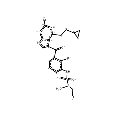 CCN(C)S(=O)(=O)Nc1cccc(C(=O)c2c[nH]c3nc(N)nc(CCC4CC4)c23)c1F